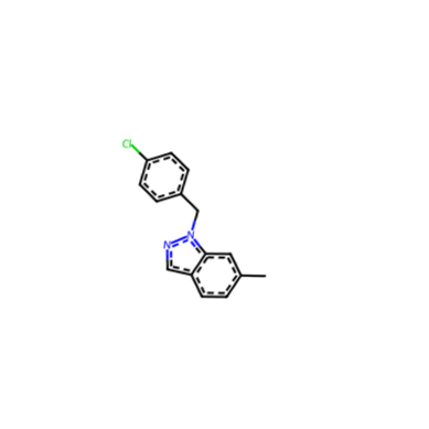 Cc1ccc2cnn(Cc3ccc(Cl)cc3)c2c1